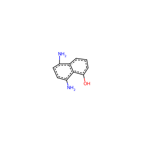 Nc1ccc(N)c2c(O)cccc12